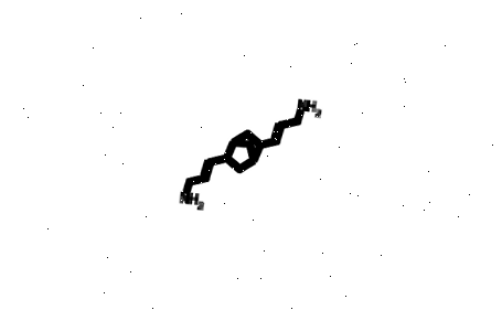 NC/C=C/C1CC2CC1CC2/C=C/CN